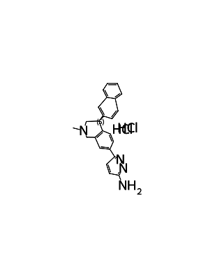 CN1Cc2cc(-c3ccc(N)nn3)ccc2[C@H](c2ccc3ccccc3c2)C1.Cl.Cl